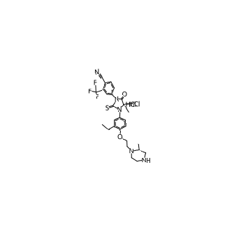 CCc1cc(N2C(=S)N(c3ccc(C#N)c(C(F)(F)F)c3)C(=O)C2(C)C)ccc1OCCN1CCNCC1C.Cl.Cl